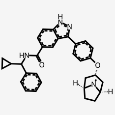 CN1[C@@H]2CC[C@H]1C[C@H](Oc1ccc(-c3n[nH]c4ccc(C(=O)NC(c5ccccc5)C5CC5)cc34)cc1)C2